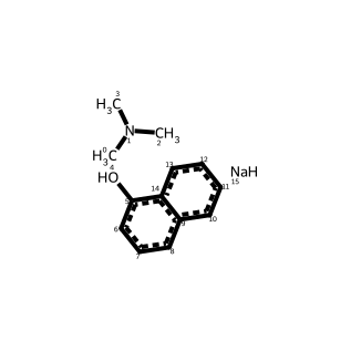 CN(C)C.Oc1cccc2ccccc12.[NaH]